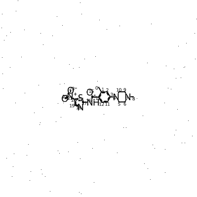 Cc1cc(N2CCN(C)CC2)ccc1C(=O)Nc1ncc([N+](=O)[O-])s1